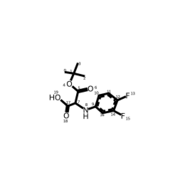 CC(C)(C)OC(=O)C(Nc1ccc(F)c(F)c1)C(=O)O